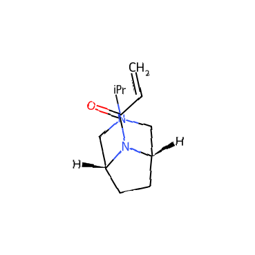 C=CC(=O)N1[C@@H]2CC[C@H]1CN(C(C)C)C2